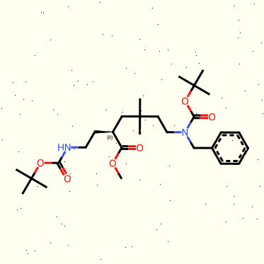 COC(=O)[C@@H](CCNC(=O)OC(C)(C)C)CC(C)(C)CCN(Cc1ccccc1)C(=O)OC(C)(C)C